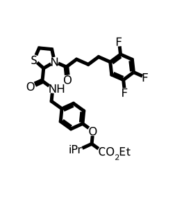 CCOC(=O)C(Oc1ccc(CNC(=O)C2SCCN2C(=O)CCCc2cc(F)c(F)cc2F)cc1)C(C)C